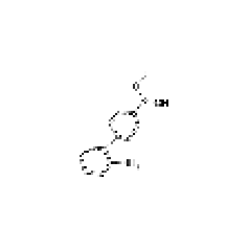 Nc1ccccc1-c1ccc(B(O)OI)cc1